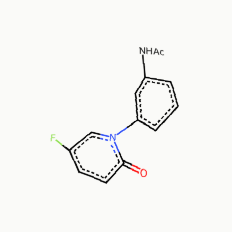 CC(=O)Nc1cccc(-n2cc(F)ccc2=O)c1